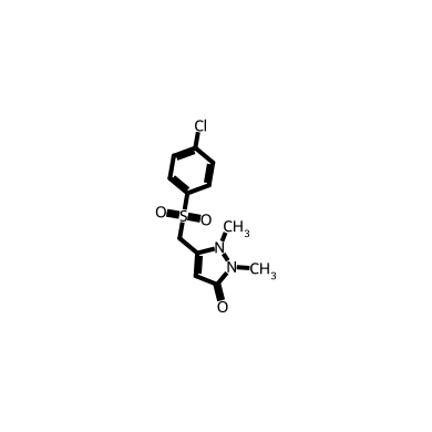 Cn1c(CS(=O)(=O)c2ccc(Cl)cc2)cc(=O)n1C